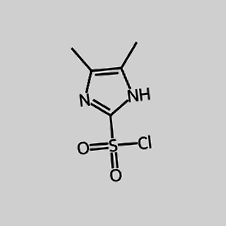 Cc1nc(S(=O)(=O)Cl)[nH]c1C